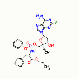 C#C[C@]1(COP(=O)(N[C@@H](Cc2ccccc2)C(=O)OCCC)Oc2ccccc2)O[C@@H](n2cnc3c(N)nc(F)nc32)C[C@@H]1O